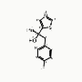 CC(C)(C)C(O)(Cc1ccc(F)cc1)c1cncs1